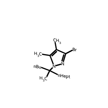 CCCCCCCC(C)(CCCC)n1nc(Br)c(C)c1C